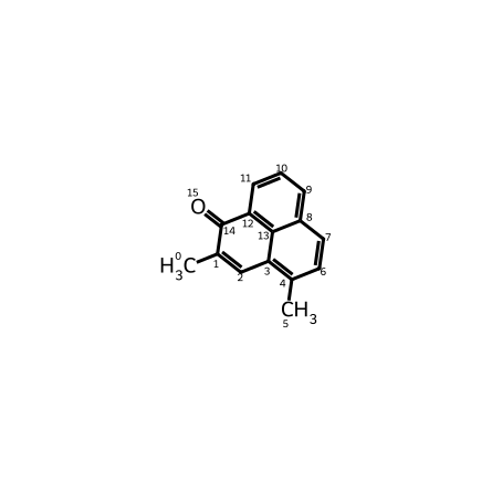 CC1=Cc2c(C)ccc3cccc(c23)C1=O